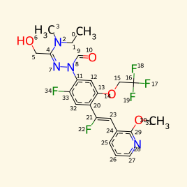 CCN(C)/C(CO)=N\N(C=O)c1cc(OCC(F)(F)F)c(/C(F)=C/c2cccnc2OC)cc1F